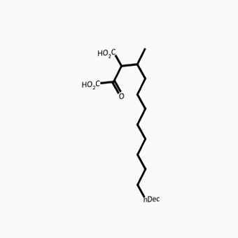 CCCCCCCCCCCCCCCCCCC(C)C(C(=O)O)C(=O)C(=O)O